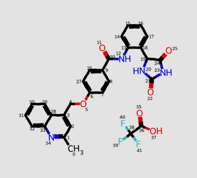 Cc1cc(COc2ccc(C(=O)Nc3ccccc3C3NC(=O)NC3=O)cc2)c2ccccc2n1.O=C(O)C(F)(F)F